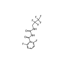 O=C(NCC(F)(F)C(F)(F)F)NC(=O)c1c(F)cccc1F